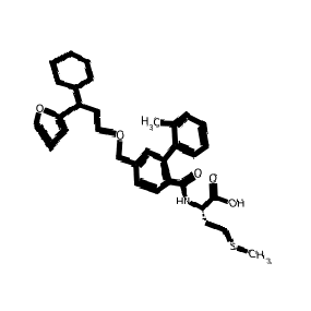 CSCC[C@H](NC(=O)c1ccc(COCCC(c2ccco2)C2CCCCC2)cc1-c1ccccc1C)C(=O)O